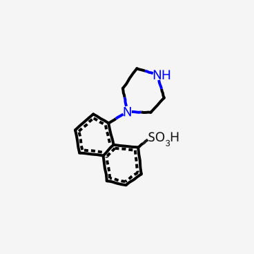 O=S(=O)(O)c1cccc2cccc(N3CCNCC3)c12